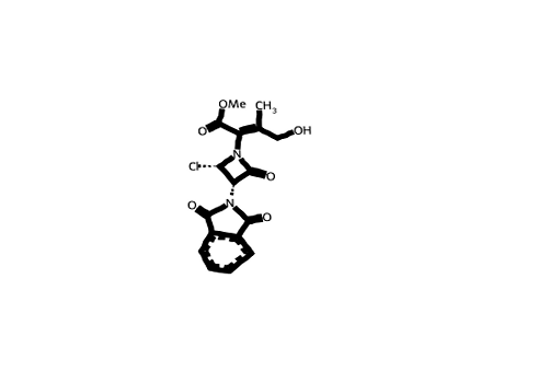 COC(=O)C(=C(C)CO)N1C(=O)[C@H](N2C(=O)c3ccccc3C2=O)[C@@H]1Cl